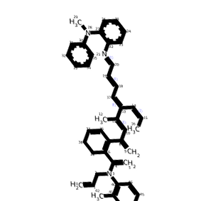 C=CCN(C(=C)C1=C(C(=C)/C=C(C)/C(/C=C\C)=C/C=C/C=N/c2ccccc2N(C)c2ccccc2)C=CCC1)C1=C(C)CCC=C1